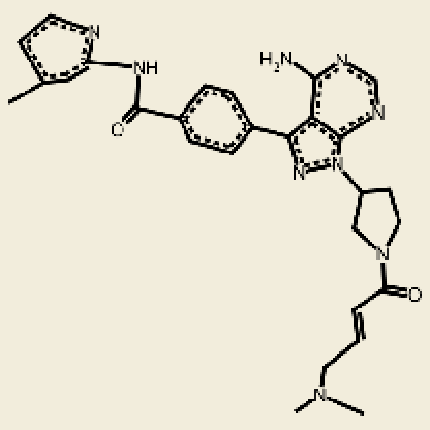 Cc1ccnc(NC(=O)c2ccc(-c3nn(C4CCN(C(=O)C=CCN(C)C)C4)c4ncnc(N)c34)cc2)c1